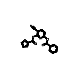 N#Cc1ccc(OC(=O)c2ccccc2)nc1OC(=O)c1cc[c]s1